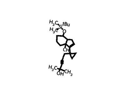 CC(C)(O)C#CCC1(C2=CCC3C(O[Si](C)(C)C(C)(C)C)CCCC23C)CC1